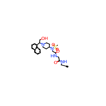 C#CCNC(=O)CNC(=O)CN(C1CCN(C(CO)c2cccc3ccccc23)CC1)S(C)(=O)=O